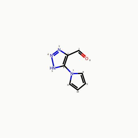 O=Cc1nn[nH]c1-n1cccc1